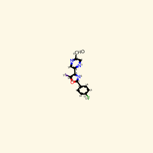 O=Cc1cnc(-c2nc(-c3ccc(F)cc3)oc2I)cn1